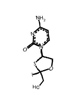 Nc1ccn(C2COC(I)(CO)S2)c(=O)n1